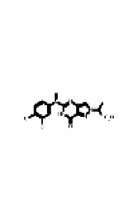 CC(C(=O)O)n1cc2nc(N(C)c3ccc(Cl)c(Cl)c3)[nH]c(=O)c2n1